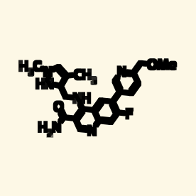 COCc1ccc(-c2cc3c(NCC4NN(C)C=C4C)c(C(N)=O)cnc3cc2F)cn1